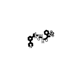 CS(=O)(=O)n1cc(C2OC2NCC(=O)Nc2nc(-c3cccc(-c4ccncc4)c3)cs2)c2c1CCCC2